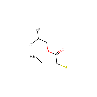 CCCCC(CC)COC(=O)CS.[CH3][SnH]